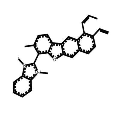 C=Cc1ccc2cc3oc4c(-c5n(I)c6ccccc6[n+]5C)c(C)ccc4c3cc2c1/C=C\C